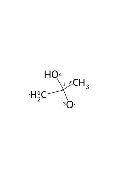 [CH2]C(C)([O])O